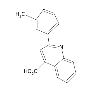 Cc1cccc(-c2cc(C(=O)O)c3ccccc3n2)c1